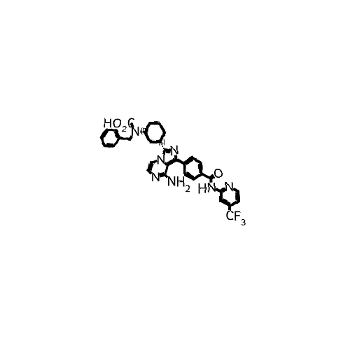 Nc1nccn2c([C@H]3CCC[C@@H](N(Cc4ccccc4)C(=O)O)C3)nc(-c3ccc(C(=O)Nc4cc(C(F)(F)F)ccn4)cc3)c12